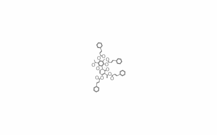 C=C(OC(=O)/C=C/c1ccccc1)C1=C(OC(=O)/C=C/c2ccccc2)C=C2Oc3c(C(C)=O)c(OC(=O)/C=C/c4ccccc4)c(C)c(OC(=O)/C=C/c4ccccc4)c3[C@@]2(C)C1=O